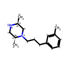 Cc1cccc(CCCN2C[C@H](C)NC[C@H]2C)c1